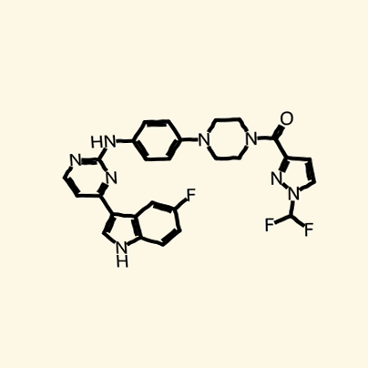 O=C(c1ccn(C(F)F)n1)N1CCN(c2ccc(Nc3nccc(-c4c[nH]c5ccc(F)cc45)n3)cc2)CC1